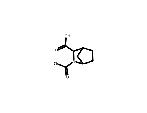 O=C(O)C1C2CCC(C2)N1C(=O)Cl